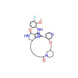 COc1c(F)cccc1Nc1c2[nH]c3c1C(=O)NCC3CCCCCCC(=O)N1CCCC(COc3cnccc3-2)C1